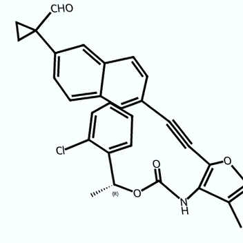 Cc1noc(C#Cc2ccc3cc(C4(C=O)CC4)ccc3c2)c1NC(=O)O[C@H](C)c1ccccc1Cl